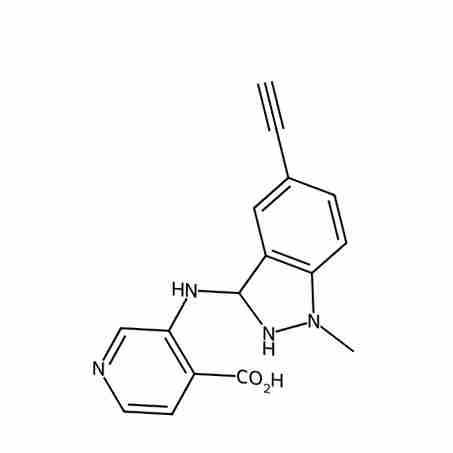 C#Cc1ccc2c(c1)C(Nc1cnccc1C(=O)O)NN2C